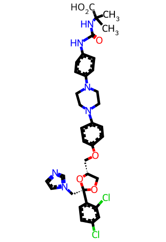 CC(C)(NC(=O)Nc1ccc(N2CCN(c3ccc(OC[C@@H]4CO[C@@](Cn5ccnc5)(c5ccc(Cl)cc5Cl)O4)cc3)CC2)cc1)C(=O)O